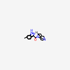 Cc1ccc2c(C(=O)N3C4CC[N@]5CC4C[C@H]3C5)n[nH]c2c1